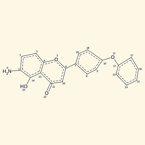 Nc1ccc2oc(-c3ccc(Oc4ccccc4)cc3)cc(=O)c2c1O